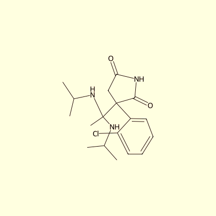 CC(C)NC(C)(NC(C)C)C1(c2ccccc2Cl)CC(=O)NC1=O